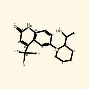 CC(O)C1CCCCN1c1ccc2[nH]c(=O)cc(C(F)(F)F)c2c1